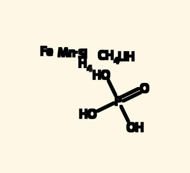 C.O=P(O)(O)O.[Fe].[LiH].[Mn].[SiH4]